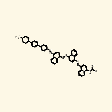 CCC(Nc1ccc(N=Nc2ccc(N=Nc3ccc(N=Nc4ccc(-c5ccc(C6CCC(C)CC6)cc5)cc4)c4ccccc34)c3ccccc23)c2ccccc12)C(C)C